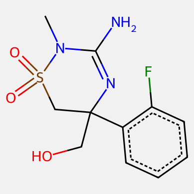 CN1C(N)=NC(CO)(c2ccccc2F)CS1(=O)=O